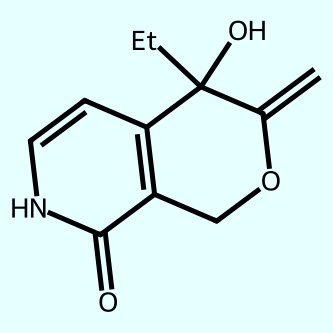 C=C1OCc2c(cc[nH]c2=O)C1(O)CC